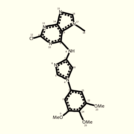 COc1cc(-n2cnc(Nc3nc(Cl)nc4ncn(C)c34)c2)cc(OC)c1OC